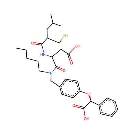 CCCCCN(Cc1ccc(O[C@H](C(=O)O)c2ccccc2)cc1)C(=O)C(CC(=O)O)NC(=O)C(CS)CC(C)C